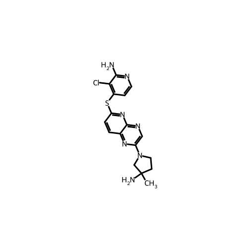 CC1(N)CCN(c2cnc3nc(Sc4ccnc(N)c4Cl)ccc3n2)C1